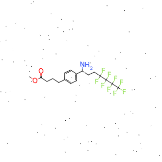 COC(=O)CCCc1ccc(C(N)CCC(F)(F)C(F)(F)C(F)(F)C(F)(F)F)cc1